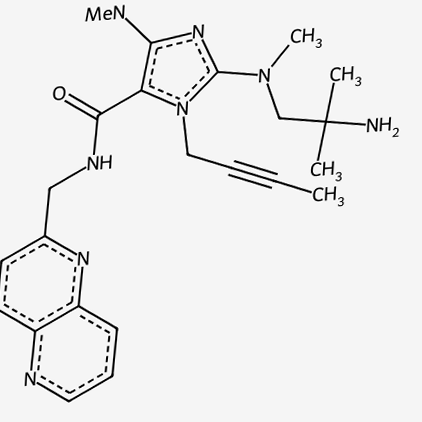 CC#CCn1c(N(C)CC(C)(C)N)nc(NC)c1C(=O)NCc1ccc2ncccc2n1